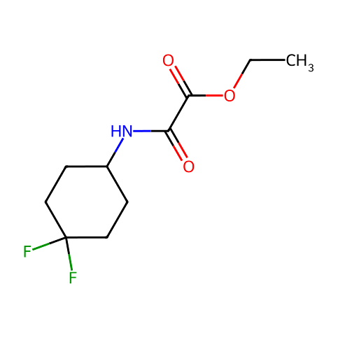 CCOC(=O)C(=O)NC1CCC(F)(F)CC1